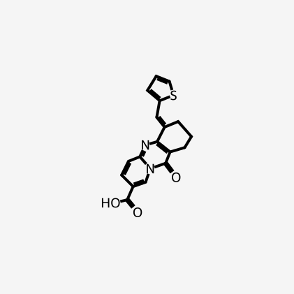 O=C(O)c1ccc2nc3c(c(=O)n2c1)CCCC3=Cc1cccs1